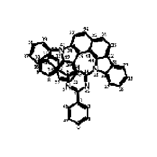 c1ccc(-c2nc(-c3ccccc3)nc(-n3c4ccccc4c4ccc5ccc6c(c7cccc8c9ccccc9n6c87)c5c43)n2)cc1